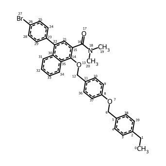 CCc1ccc(COc2ccc(COc3c(C(=O)N(C)C)cc(-c4ccc(Br)cc4)c4ccccc34)cc2)cc1